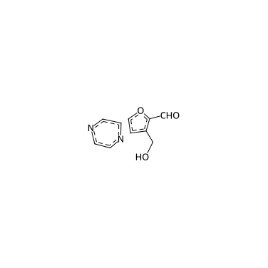 O=Cc1occc1CO.c1cnccn1